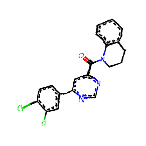 O=C(c1cc(-c2ccc(Cl)c(Cl)c2)ncn1)N1CCCc2ccccc21